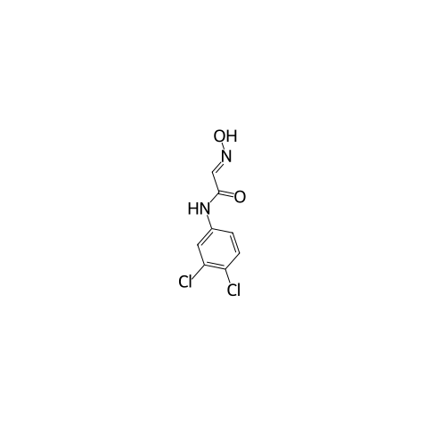 O=C(C=NO)Nc1ccc(Cl)c(Cl)c1